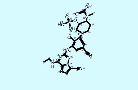 CCNc1nc(Nc2cc(C#N)cc(N3CC[C@H](N(C)C(=O)O)[C@@H](OP(=O)(O)O)C3)c2Cl)nn2c(C#N)cnc12